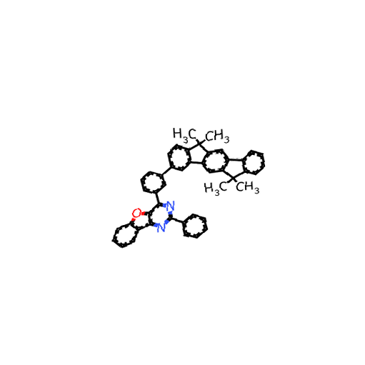 CC1(C)c2ccccc2-c2cc3c(cc21)-c1cc(-c2cccc(-c4nc(-c5ccccc5)nc5c4oc4ccccc45)c2)ccc1C3(C)C